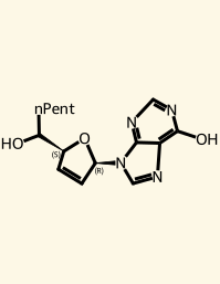 CCCCCC(O)[C@@H]1C=C[C@H](n2cnc3c(O)ncnc32)O1